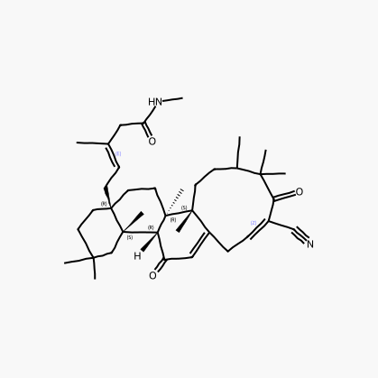 CNC(=O)C/C(C)=C/C[C@]12CCC(C)(C)C[C@@]1(C)[C@H]1C(=O)C=C3C/C=C(/C#N)C(=O)C(C)(C)C(C)CC[C@@]3(C)[C@]1(C)CC2